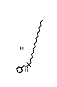 CCCCCCCCCCCCCCCCCC(C)(C)NCc1ccccc1.I